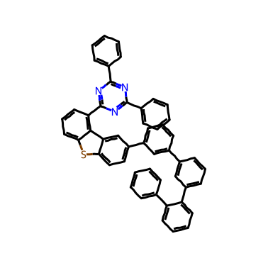 c1ccc(-c2nc(-c3ccccc3)nc(-c3cccc4sc5ccc(-c6cccc(-c7cccc(-c8ccccc8-c8ccccc8)c7)c6)cc5c34)n2)cc1